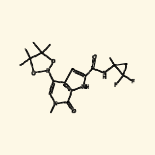 Cn1cc(B2OC(C)(C)C(C)(C)O2)c2cc(C(=O)NC3(C)CC3(F)F)[nH]c2c1=O